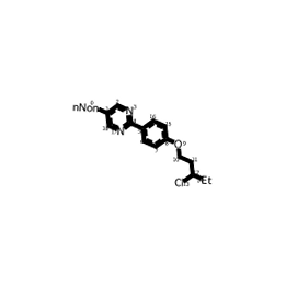 CCCCCCCCCc1cnc(-c2ccc(OCCC(Cl)CC)cc2)nc1